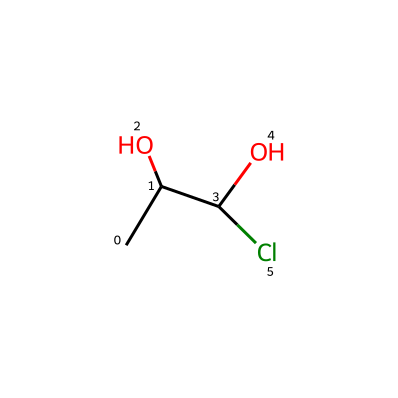 CC(O)C(O)Cl